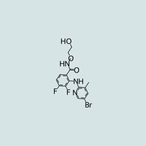 Cc1cc(Br)cnc1Nc1c(C(=O)NOCCO)ccc(F)c1F